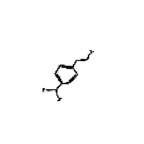 BrCCc1ccc(C(Br)Br)cc1